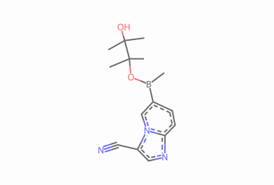 CB(OC(C)(C)C(C)(C)O)c1ccc2ncc(C#N)n2c1